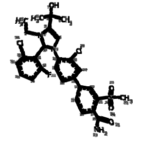 CCN1C(C(C)(C)O)=CN(c2ccc(-c3ccc(C(N)=O)c(S(C)(=O)=O)c3)cc2Cl)C1c1c(F)cccc1Cl